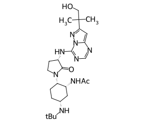 CC(=O)N[C@@H]1C[C@H](NC(C)(C)C)CC[C@@H]1N1CC[C@H](Nc2ncnc3cc(C(C)(C)CO)nn23)C1=O